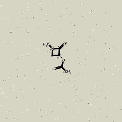 CC(=O)O[C@@H]1CN(P)C1=O